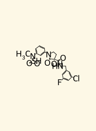 CN(c1cccc(N2CC[C@@](O)(C(=O)NCc3cc(F)cc(Cl)c3)C2=O)c1)[SH](=O)=O